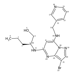 CCC[C@@H](CO)Nc1cc(NCc2cccnc2)n2ncc(Br)c2n1